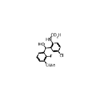 COc1cccc(C(O)c2cc(Cl)ccc2NC(=O)O)c1F